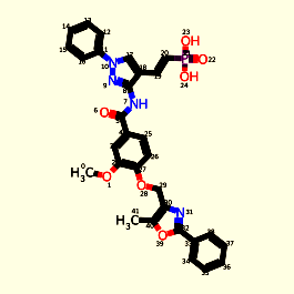 COc1cc(C(=O)Nc2nn(-c3ccccc3)cc2/C=C/P(=O)(O)O)ccc1OCc1nc(-c2ccccc2)oc1C